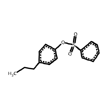 CCCc1ccc(OS(=O)(=O)c2ccccc2)cc1